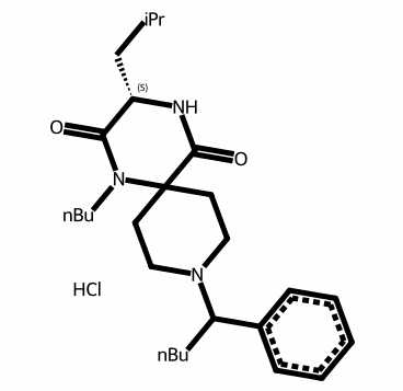 CCCCC(c1ccccc1)N1CCC2(CC1)C(=O)N[C@@H](CC(C)C)C(=O)N2CCCC.Cl